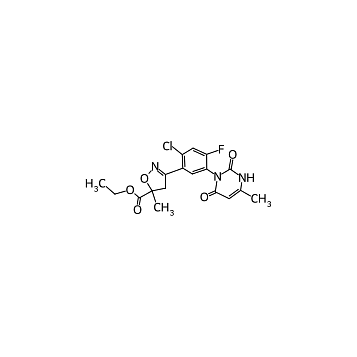 CCOC(=O)C1(C)CC(c2cc(-n3c(=O)cc(C)[nH]c3=O)c(F)cc2Cl)=NO1